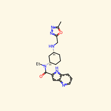 CCN(C(=O)c1cc2ncccc2[nH]1)[C@H]1CCC[C@@H](NCc2nnc(C)o2)C1